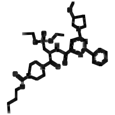 CCCCOC(=O)N1CCN(C(=O)C(CP(=O)(OCC)OCC)NC(=O)c2cc(N3CCC(OC)C3)nc(-c3ccccc3)n2)CC1